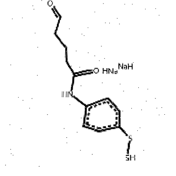 O=CCCCC(=O)Nc1ccc(SS)cc1.[NaH].[NaH]